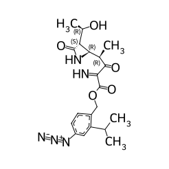 CC(C)c1cc(N=[N+]=[N-])ccc1COC(=O)C(=N)C(=O)[C@H](C)[C@H]1NC(=O)[C@@H]1[C@@H](C)O